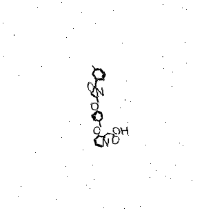 Cc1cccc(-c2nc(COc3ccc(COc4cccnc4CC(=O)O)cc3)co2)c1